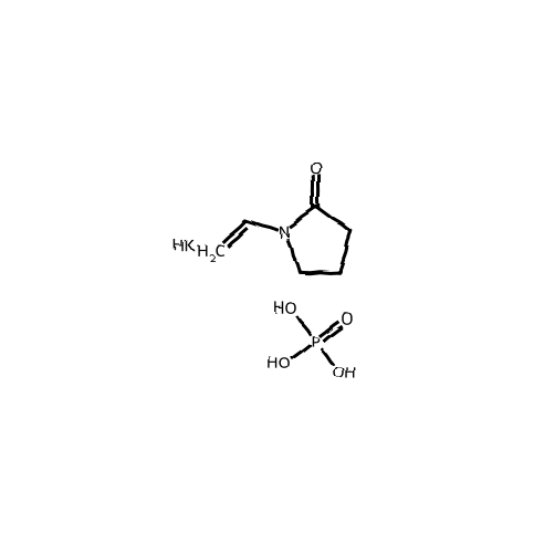 C=CN1CCCC1=O.O=P(O)(O)O.[KH]